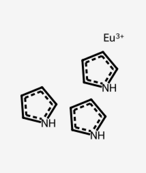 [Eu+3].c1cc[nH]c1.c1cc[nH]c1.c1cc[nH]c1